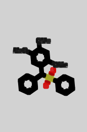 COc1cc(OC)c(C(c2ccccc2)S(=O)(=O)c2ccccc2)cc1OC